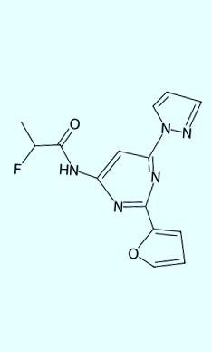 CC(F)C(=O)Nc1cc(-n2cccn2)nc(-c2ccco2)n1